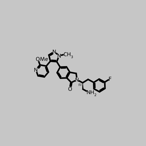 COc1ncccc1-c1cnn(C)c1-c1ccc2c(c1)CN([C@H](CN)Cc1cccc(F)c1)C2=O